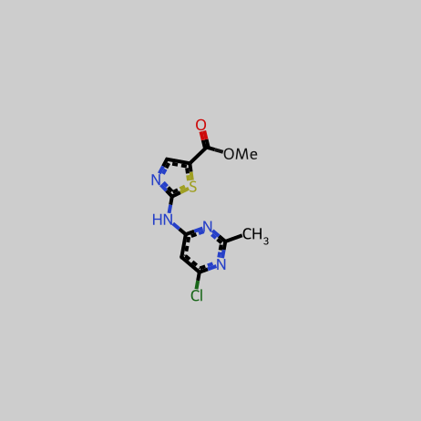 COC(=O)c1cnc(Nc2cc(Cl)nc(C)n2)s1